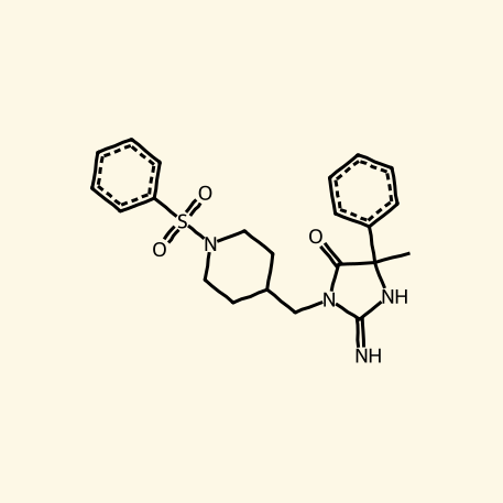 CC1(c2ccccc2)NC(=N)N(CC2CCN(S(=O)(=O)c3ccccc3)CC2)C1=O